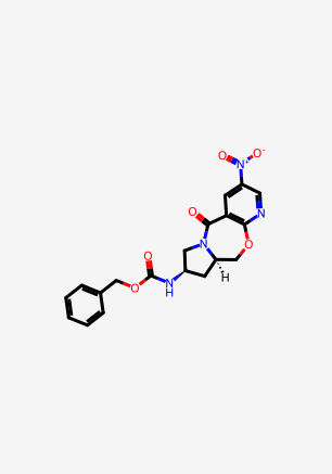 O=C(N[C@@H]1C[C@@H]2COc3ncc([N+](=O)[O-])cc3C(=O)N2C1)OCc1ccccc1